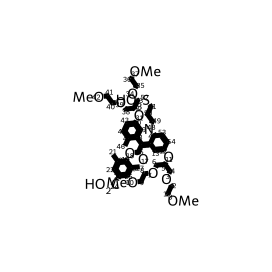 COCCOCC(COCCOC)OC1=CC(=C(\C(=O)Oc2c(C)cc(C(=O)O)cc2C)c2cc(OC(COCCOC)COCCOC)ccc2C)/C(=N/CCCS(=O)(=O)O)C=C1